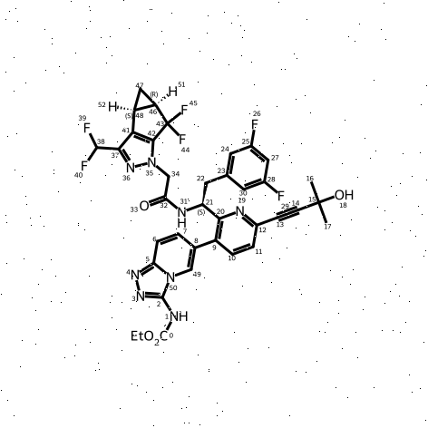 CCOC(=O)Nc1nnc2ccc(-c3ccc(C#CC(C)(C)O)nc3[C@H](Cc3cc(F)cc(F)c3)NC(=O)Cn3nc(C(F)F)c4c3C(F)(F)[C@@H]3C[C@H]43)cn12